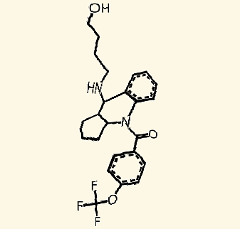 O=C(c1ccc(OC(F)(F)F)cc1)N1c2ccccc2C(NCCCCO)C2CCCC21